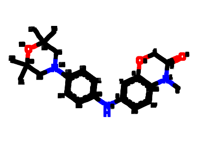 CN1C(=O)COc2cc(Nc3ccc(N4CC(C)(C)OC(C)(C)C4)cc3)ccc21